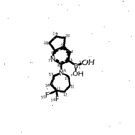 OB(O)c1cc2c(nc1N1CCCC(F)(F)CC1)CCC2